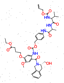 C=CCOC(=O)NC(C(=O)NC(C)C(=O)Nc1ccc(COC(=O)Nc2cc(OCCCC(=O)OCC)c(OC)cc2C(=O)N2Cc3ccccc3C[C@H]2CO)cc1)C(C)C